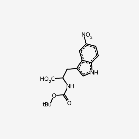 CC(C)(C)OC(=O)NC(Cc1c[nH]c2ccc([N+](=O)[O-])cc12)C(=O)O